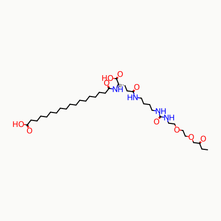 CCC(=O)COCCOCCNC(=O)NCCCCNC(=O)CC[C@H](NC(=O)CCCCCCCCCCCCCCCCC(=O)O)C(=O)O